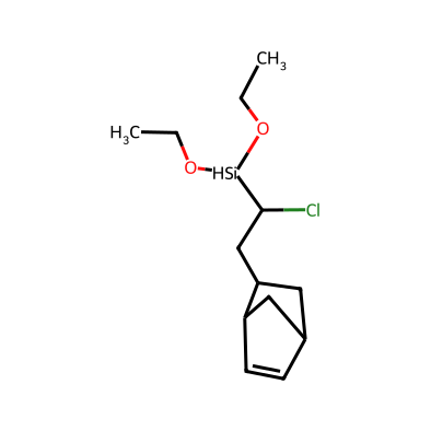 CCO[SiH](OCC)C(Cl)CC1CC2C=CC1C2